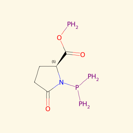 O=C(OP)[C@@H]1CCC(=O)N1P(P)P